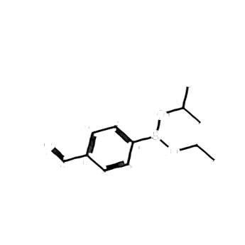 CCOB(OC(C)C)c1ccc(C=O)cc1